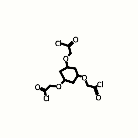 O=C(Cl)COC1CC(OCC(=O)Cl)CC(OCC(=O)Cl)C1